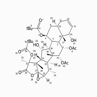 CC(=O)O[C@H]1C2C([C@@H](OC(=O)C(C)(C)C)C[C@H]3CC=C[C@H](O)[C@]23C)[C@@H]2[C@@H](O)[C@@H]3[C@H]([C@H](C)[C@H]4O[C@]45OC(=O)[C@@](C)(OC(=O)C(C)(C)C)[C@]35C)[C@@]2(C)[C@H]1OC(C)=O